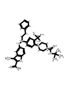 Cc1c(C(=O)O)oc2ccc(SN(CCc3ccccc3)c3ccc(N4CCN(C(=O)OC(C)(C)C)CC4)c(C(F)(F)F)c3)cc12